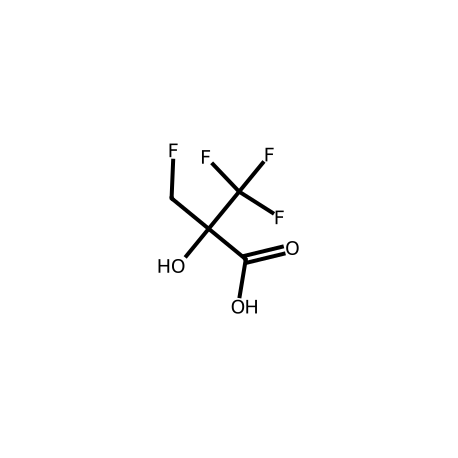 O=C(O)C(O)(CF)C(F)(F)F